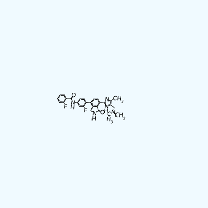 Cc1nc(-c2ccc(-c3ccc(NC(=O)c4ccccc4F)cc3F)c3c2C(=O)NC3)[nH]c1CN(C)C